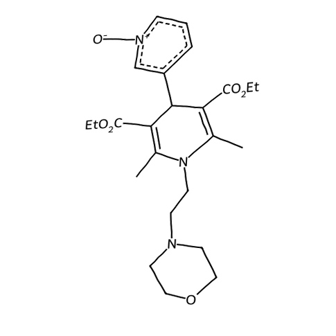 CCOC(=O)C1=C(C)N(CCN2CCOCC2)C(C)=C(C(=O)OCC)C1c1ccc[n+]([O-])c1